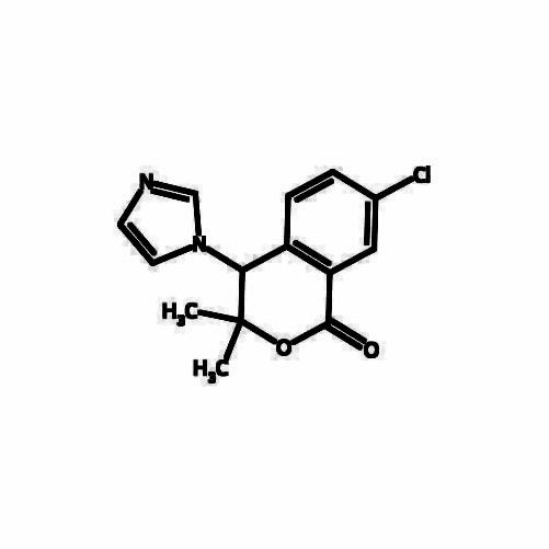 CC1(C)OC(=O)c2cc(Cl)ccc2C1n1ccnc1